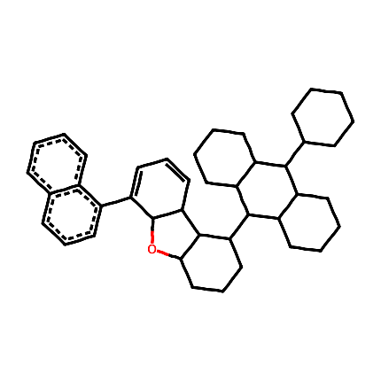 C1=CC2C(OC3CCCC(C4C5CCCCC5C(C5CCCCC5)C5CCCCC54)C32)C(c2cccc3ccccc23)=C1